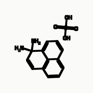 NC1(N)C=Cc2cccc3cccc1c23.O=S(=O)(O)O